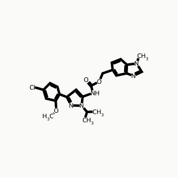 COc1cc(Cl)ccc1-c1cc(NC(=O)OCc2ccc3c(c2)ncn3C)n(C(C)C)n1